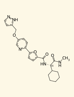 CNC(=O)[C@@H](NC(=O)c1ccc(-c2ccc(OCc3ccn[nH]3)cn2)o1)C1CCCCC1